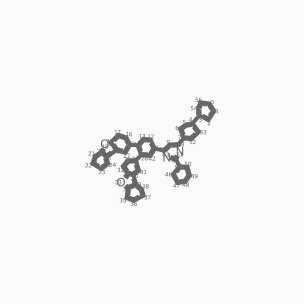 c1ccc(-c2ccc(-c3cc(-c4ccc(-c5ccc6oc7ccccc7c6c5)c(-c5ccc6oc7ccccc7c6c5)c4)nc(-c4ccccc4)n3)cc2)cc1